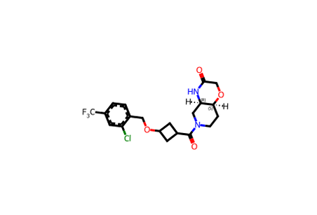 O=C1CO[C@H]2CCN(C(=O)C3CC(OCc4ccc(C(F)(F)F)cc4Cl)C3)C[C@H]2N1